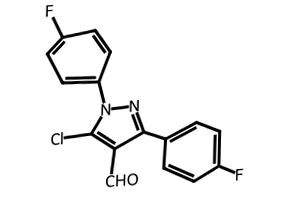 O=Cc1c(-c2ccc(F)cc2)nn(-c2ccc(F)cc2)c1Cl